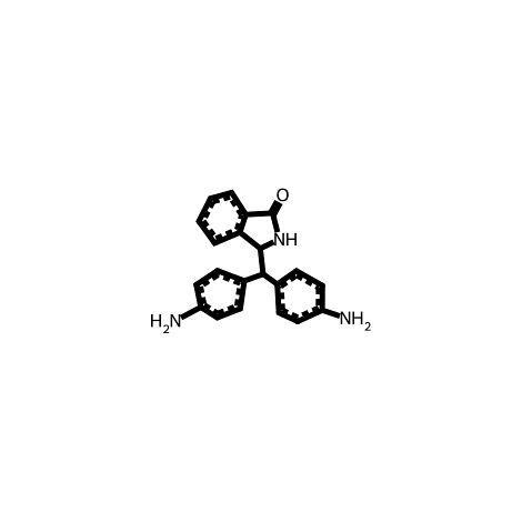 Nc1ccc(C(c2ccc(N)cc2)C2NC(=O)c3ccccc32)cc1